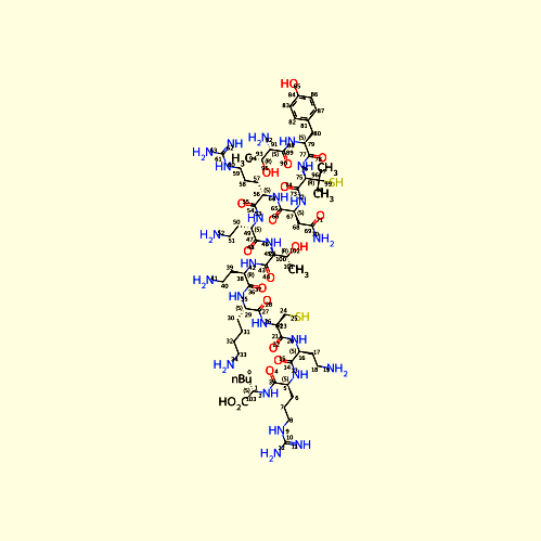 CCCC[C@H](NC(=O)[C@H](CCCNC(=N)N)NC(=O)[C@H](CCN)NC(=O)[C@H](CS)NC(=O)[C@H](CCCCN)NC(=O)[C@@H](CCN)NC(=O)[C@@H](NC(=O)[C@H](CCN)NC(=O)[C@H](CCCNC(=N)N)NC(=O)[C@H](CC(N)=O)NC(=O)[C@@H](NC(=O)[C@H](Cc1ccc(O)cc1)NC(=O)[C@@H](N)[C@@H](C)O)C(C)(C)S)[C@@H](C)O)C(=O)O